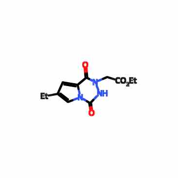 CCOC(=O)Cn1[nH]c(=O)n2cc(CC)cc2c1=O